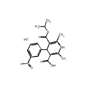 CC1=C(C(=O)O)C(c2cccc([N+](=O)[O-])c2)C(C(=O)OC(C)C)=C(C)N1.Cl